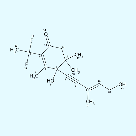 CC(C#CC1(O)C(C)=C(C(C)(F)F)C(=O)CC1(C)C)=CCO